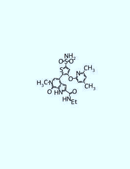 CCNC(=O)c1cc2c(-c3sc(S(N)(=O)=O)cc3Oc3cc(C)cc(C)n3)cn(C)c(=O)c2[nH]1